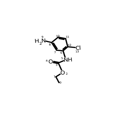 CCOC(=O)Nc1cc(N)ccc1Cl